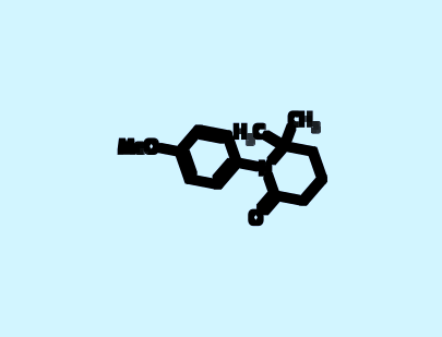 COc1ccc(N2C(=O)CCCC2(C)C)cc1